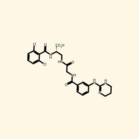 O=C(CNC(=O)c1cccc(NC2=NCCCN2)c1)NC[C@H](NC(=O)c1c(Cl)cccc1Cl)C(=O)O